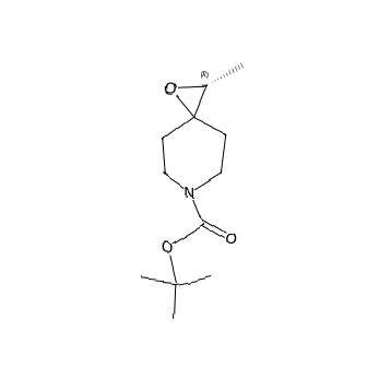 C[C@H]1OC12CCN(C(=O)OC(C)(C)C)CC2